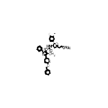 COCCN1C[C@@H](NC(=O)Nc2c(C)c(-c3ccc(OCc4ccccc4)nc3)nn2-c2ccccc2)[C@H](c2ccc(F)c(F)c2)O1